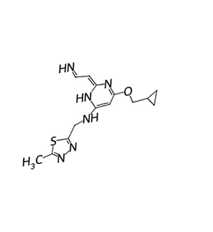 Cc1nnc(CNC2=CC(OCC3CC3)=N/C(=C/C=N)N2)s1